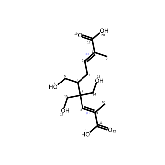 C/C(=C\CC(CO)C(/C=C(\C)C(=O)O)(CO)CO)C(=O)O